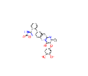 CCCc1nc(CC)c(Oc2ccc(O)c(O)c2)c(=O)n1Cc1ccc(-c2ccccc2-c2noc(=O)[nH]2)cc1